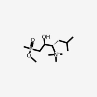 COP(C)(=O)C[C@@H](O)[C@H](CC(C)C)[N+](C)(C)C